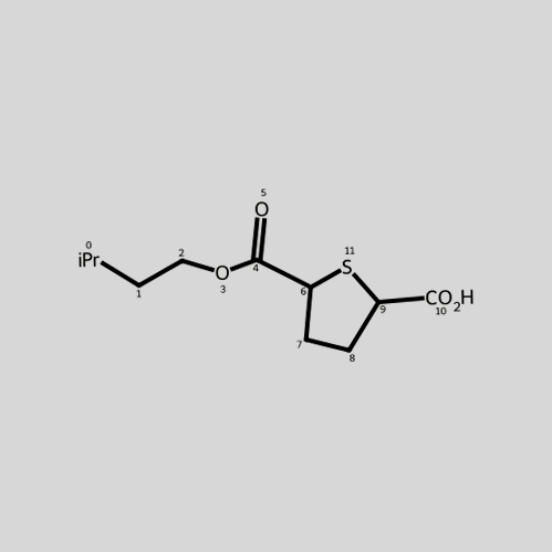 CC(C)CCOC(=O)C1CCC(C(=O)O)S1